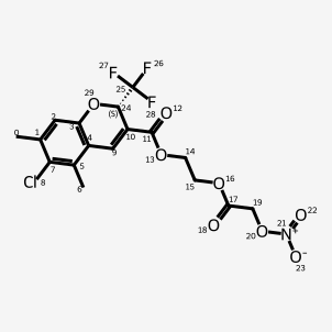 Cc1cc2c(c(C)c1Cl)C=C(C(=O)OCCOC(=O)CO[N+](=O)[O-])[C@@H](C(F)(F)F)O2